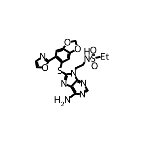 CCS(=O)(=O)NCCn1c(Sc2cc3c(cc2-c2ncco2)OCO3)nc2c(N)ncnc21